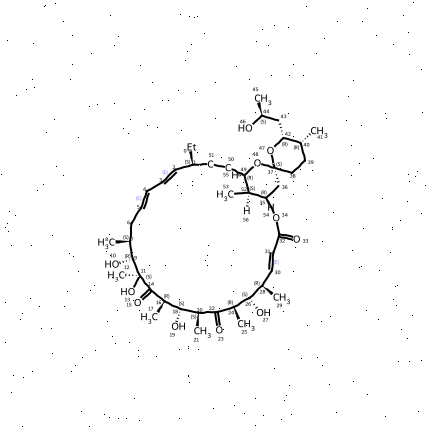 CC[C@@H]1/C=C/C=C/C[C@H](C)[C@@H](O)[C@](C)(O)C(=O)[C@H](C)[C@@H](O)[C@H](C)C(=O)[C@H](C)[C@@H](O)[C@H](C)/C=C/C(=O)O[C@@H]2C[C@]3(CC[C@@H](C)[C@@H](C[C@H](C)O)O3)O[C@H](CC1)[C@@H]2C